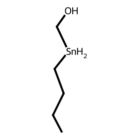 CCC[CH2][SnH2][CH2]O